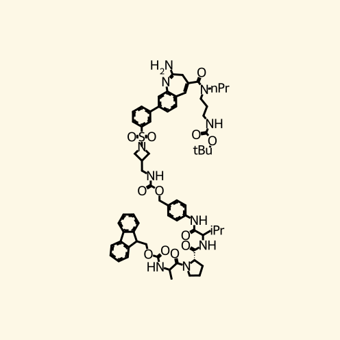 CCCN(CCCNC(=O)OC(C)(C)C)C(=O)C1=Cc2ccc(-c3cccc(S(=O)(=O)N4CC(CNC(=O)OCc5ccc(NC(=O)C(NC(=O)[C@@H]6CCCN6C(=O)C(C)NC(=O)OCC6c7ccccc7-c7ccccc76)C(C)C)cc5)C4)c3)cc2N=C(N)C1